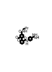 CC(C)CNC(=O)c1ccc2c(c1)c(=O)oc1cccc(C(=O)Nc3ccc(C(=N)N)cc3)c12